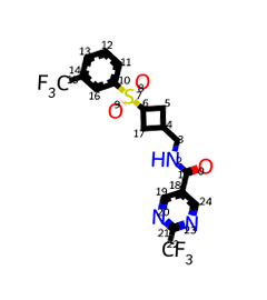 O=C(NCC1CC(S(=O)(=O)c2cccc(C(F)(F)F)c2)C1)c1cnc(C(F)(F)F)nc1